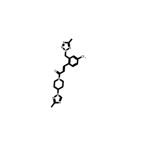 Cc1ncn(C2CCN(C(=O)C=Cc3ccc(C(F)(F)F)cc3Cn3nnc(C)n3)CC2)n1